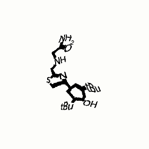 CC(C)(C)c1cc(-c2csc(CNCC(N)=O)n2)cc(C(C)(C)C)c1O